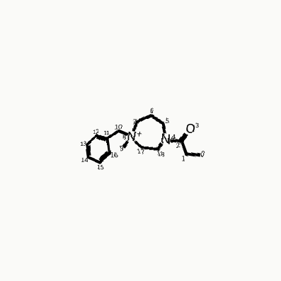 CCC(=O)N1CCC[N+](C)(Cc2ccccc2)CC1